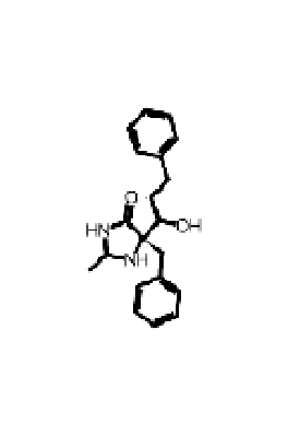 CC1NC(=O)[C@](Cc2ccccc2)(C(O)[CH]Cc2ccccc2)N1